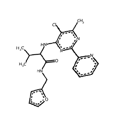 Cc1nc(-c2ccccn2)nc(NC(C(=O)NCc2ccco2)C(C)C)c1Cl